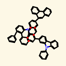 c1ccc(-c2ccccc2-c2c(-c3ccccc3)cccc2N(c2ccc(-c3cc4ccccc4c4ccccc34)cc2)c2cccc(-c3ccc4c5ccccc5n(-c5ccccc5)c4c3)c2)cc1